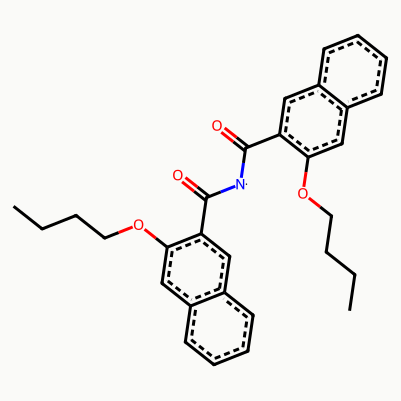 CCCCOc1cc2ccccc2cc1C(=O)[N]C(=O)c1cc2ccccc2cc1OCCCC